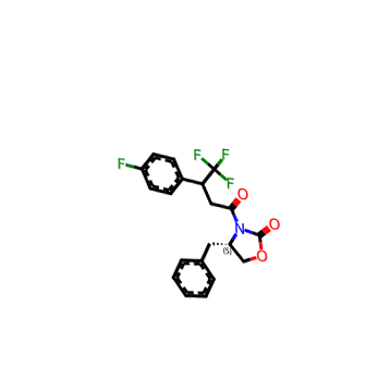 O=C(CC(c1ccc(F)cc1)C(F)(F)F)N1C(=O)OC[C@@H]1Cc1ccccc1